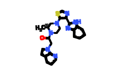 C[C@H]1CN(c2scnc2-c2nc3ccccc3[nH]2)CCN1C(=O)Cn1ccc2cccnc21